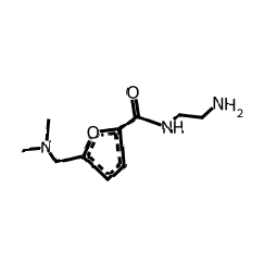 CN(C)Cc1ccc(C(=O)NCCN)o1